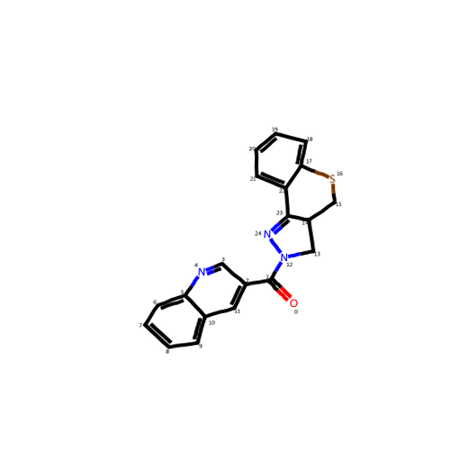 O=C(c1cnc2ccccc2c1)N1CC2CSc3ccccc3C2=N1